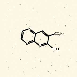 O=C(O)c1cc2nccnc2nc1C(=O)O